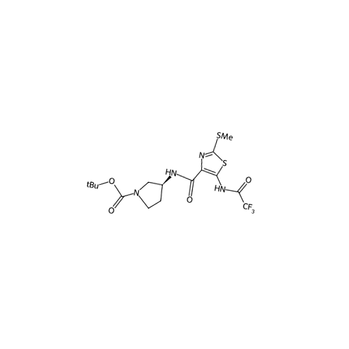 CSc1nc(C(=O)N[C@H]2CCN(C(=O)OC(C)(C)C)C2)c(NC(=O)C(F)(F)F)s1